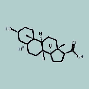 C[C@]12CC[C@H](O)C[C@@H]1CC[C@@H]1[C@@H]2CC[C@]2(C)[C@@H](C(=O)O)CC[C@@H]12